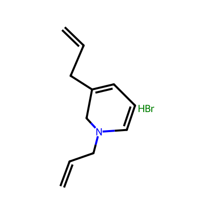 Br.C=CCC1=CC=CN(CC=C)C1